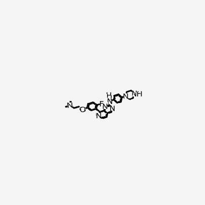 CN(C)CCOc1ccc(F)c(-c2nccc3cnc(Nc4ccc(N5CCNCC5)cc4)nc23)c1